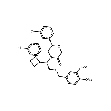 COc1ccc(COC[C@@H](C2CCC2)N2C(=O)CO[C@H](c3cccc(Cl)c3)[C@H]2c2ccc(Cl)cc2)cc1OC